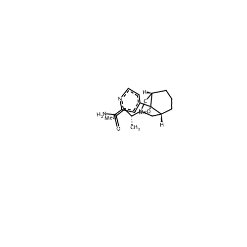 COC[C@@H](C)N1C[C@H]2CCC[C@@H](C1)[C@]2(OC)c1ccnc(C(N)=O)c1